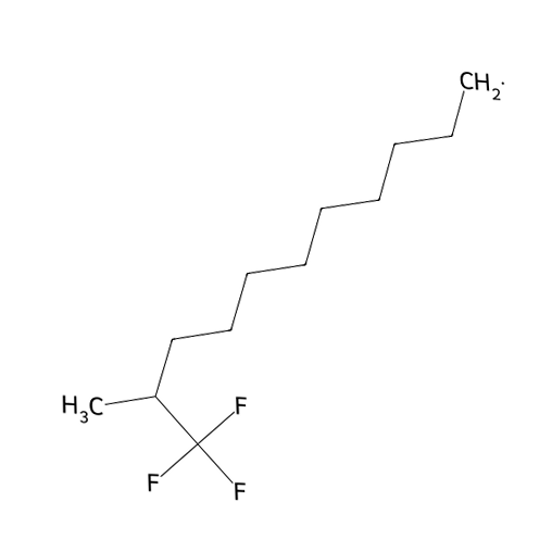 [CH2]CCCCCCCCC(C)C(F)(F)F